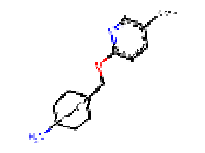 CNc1ccc(OCC23CCC(N)(CC2)CC3)nc1